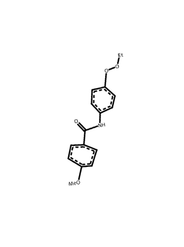 CCOOc1ccc(NC(=O)c2ccc(OC)cc2)cc1